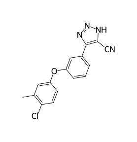 Cc1cc(Oc2cccc(-c3nn[nH]c3C#N)c2)ccc1Cl